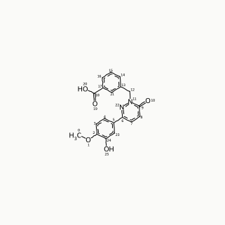 COc1ccc(-c2ccc(=O)n(Cc3cccc(C(=O)O)c3)n2)cc1O